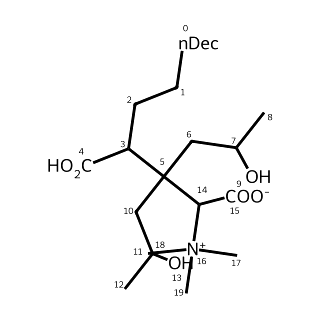 CCCCCCCCCCCCC(C(=O)O)C(CC(C)O)(CC(C)O)C(C(=O)[O-])[N+](C)(C)C